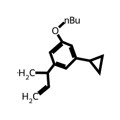 [CH2]C(C=C)c1cc(OCCCC)cc(C2CC2)c1